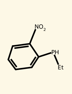 CCPc1ccccc1[N+](=O)[O-]